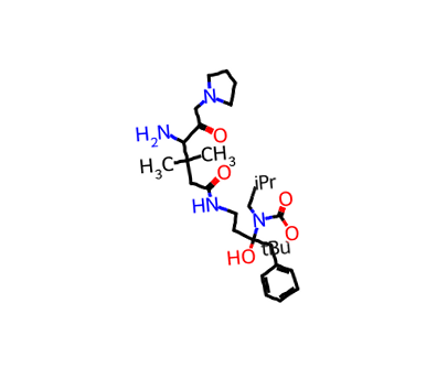 CC(C)CN(C(=O)OC(C)(C)C)C(O)(CCNC(=O)CC(C)(C)C(N)C(=O)CN1CCCC1)Cc1ccccc1